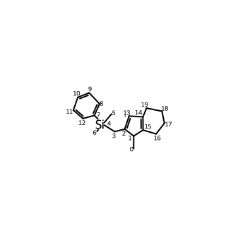 CC1C(C[Si](C)(C)c2ccccc2)=[C]C2=C1CCCC2